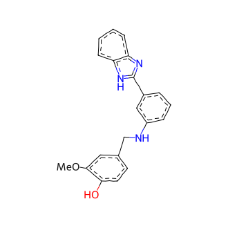 COc1cc(CNc2cccc(-c3nc4ccccc4[nH]3)c2)ccc1O